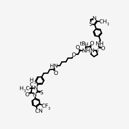 Cc1ncsc1-c1ccc(CNC(=O)[C@@H]2CCCN2C(=O)[C@@H](NC(=O)COCCCCCNC(=O)CCCc2ccc(N3C(=S)N(c4ccc(C#N)c(C(F)(F)F)c4)C(=O)C3(C)C)cc2)C(C)(C)C)cc1